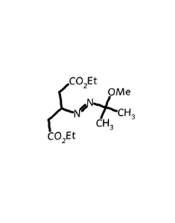 CCOC(=O)CC(CC(=O)OCC)N=NC(C)(C)OC